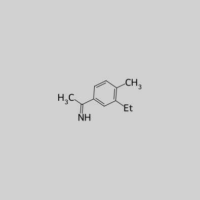 CCc1cc(C(C)=N)ccc1C